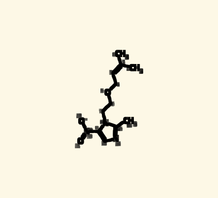 CC(C)=CCOCCn1c([N+](=O)[O-])cnc1C